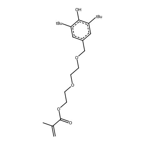 C=C(C)C(=O)OCCOCCOCc1cc(C(C)(C)C)c(O)c(C(C)(C)C)c1